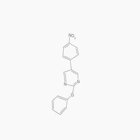 O=[N+]([O-])c1ccc(-c2cnc(Oc3ccccc3)nc2)cc1